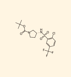 CC(C)(C)OC(=O)N1CC[C@@H](NS(=O)(=O)c2cc(C(F)(F)F)ccc2Cl)C1